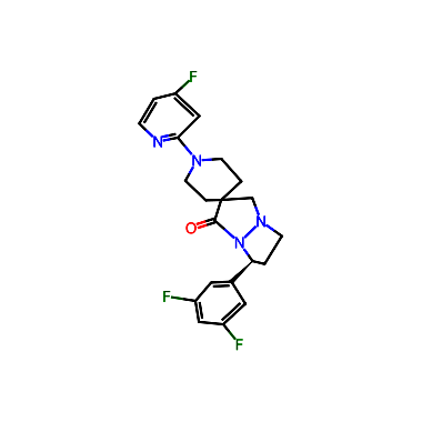 O=C1N2[C@H](c3cc(F)cc(F)c3)CCN2CC12CCN(c1cc(F)ccn1)CC2